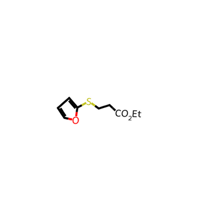 CCOC(=O)CCSc1ccco1